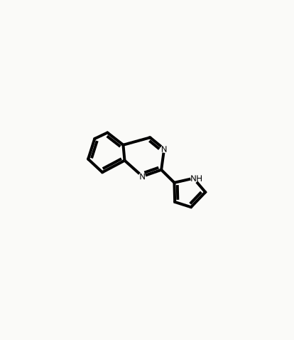 c1c[nH]c(-c2ncc3ccccc3n2)c1